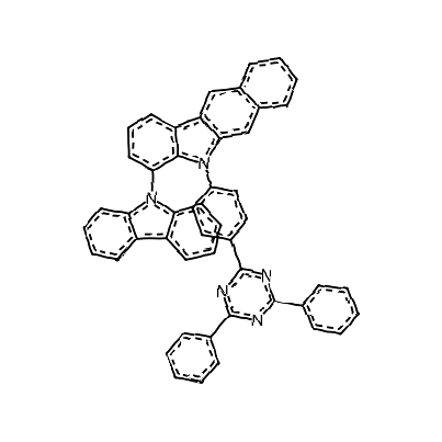 c1ccc(-c2nc(-c3ccccc3)nc(-c3ccc(-n4c5cc6ccccc6cc5c5cccc(-n6c7ccccc7c7ccccc76)c54)cc3)n2)cc1